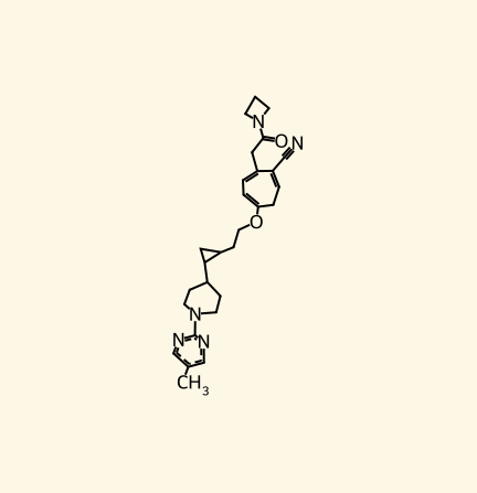 Cc1cnc(N2CCC(C3CC3CCOC3=CC=C(CC(=O)N4CCC4)C(C#N)=CC3)CC2)nc1